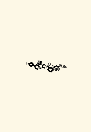 CC(C)(C)OC(=O)Cc1nc2c(C(=O)N3C[C@@H](CN4CCC(c5ccc(F)cc5)CC4)[C@H](c4ccsc4)C3)cccc2[nH]1